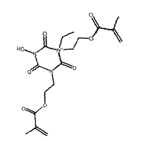 C=C(C)C(=O)OCCN1C(=O)N(O)C(=O)[N+](CC)(CCOC(=O)C(=C)C)C1=O